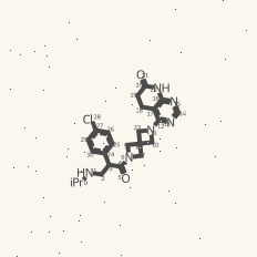 CC(C)NCC(C(=O)N1CC2(C1)CN(c1ncnc3c1CCC(=O)N3)C2)c1ccc(Cl)cc1